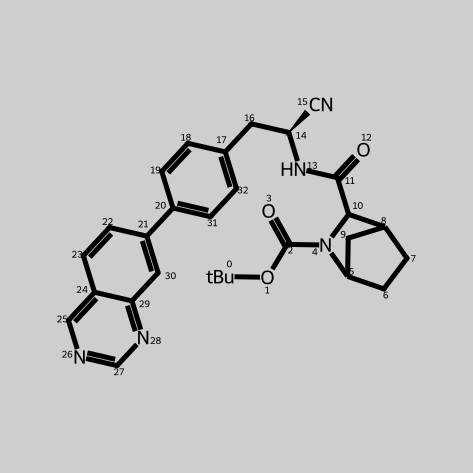 CC(C)(C)OC(=O)N1C2CCC(C2)C1C(=O)N[C@H](C#N)Cc1ccc(-c2ccc3cncnc3c2)cc1